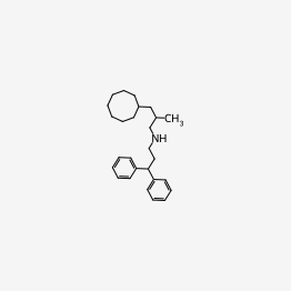 CC(CNCCC(c1ccccc1)c1ccccc1)CC1CCCCCCC1